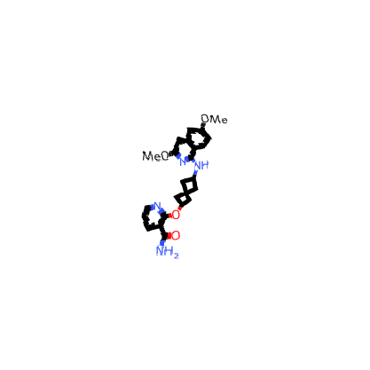 COc1ccc2c(NC3CC4(C3)CC(Oc3ncccc3C(N)=O)C4)nc(OC)cc2c1